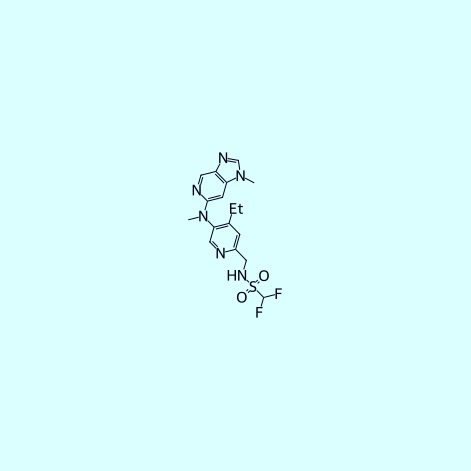 CCc1cc(CNS(=O)(=O)C(F)F)ncc1N(C)c1cc2c(cn1)ncn2C